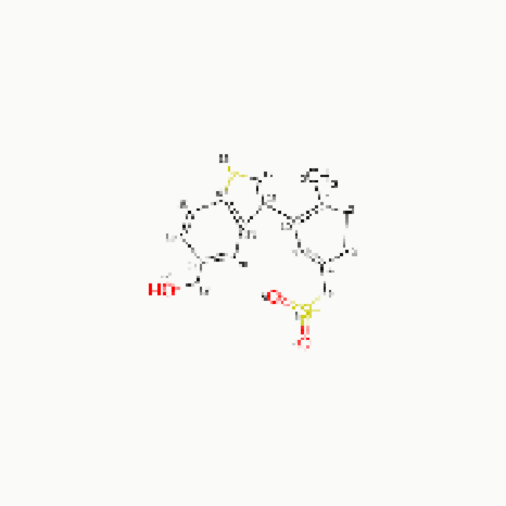 Cc1ccc(C[SH](=O)=O)cc1-c1csc2ccc(CO)cc12